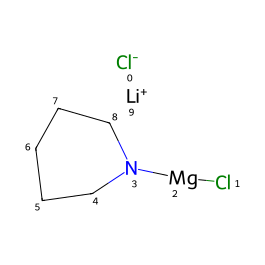 [Cl-].[Cl][Mg][N]1CCCCC1.[Li+]